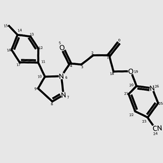 C=C(CCC(=O)N1N=CCC1c1ccc(C)cc1)COc1ccc(C#N)cn1